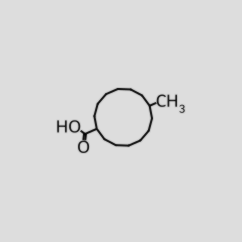 CC1CCCCCCC(C(=O)O)CCCCCC1